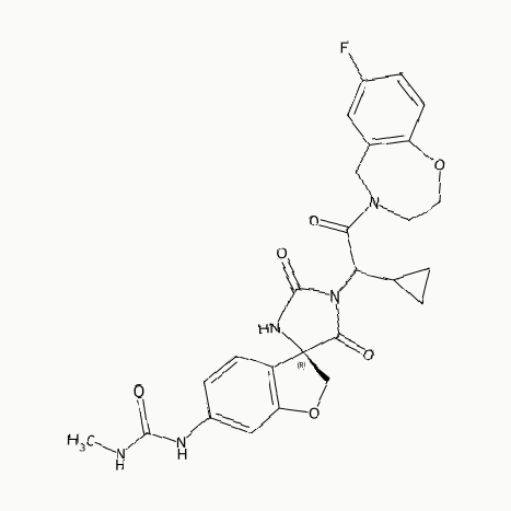 CNC(=O)Nc1ccc2c(c1)OC[C@]21NC(=O)N(C(C(=O)N2CCOc3ccc(F)cc3C2)C2CC2)C1=O